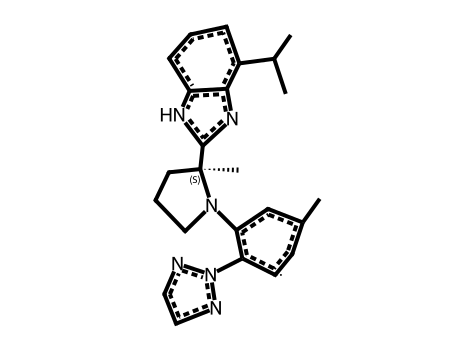 Cc1c[c]c(-n2nccn2)c(N2CCC[C@@]2(C)c2nc3c(C(C)C)cccc3[nH]2)c1